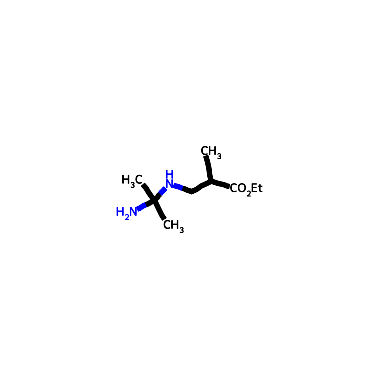 CCOC(=O)C(C)CNC(C)(C)N